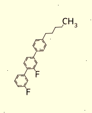 CCCCCc1ccc(-c2ccc(-c3cccc(F)c3)c(F)c2)cc1